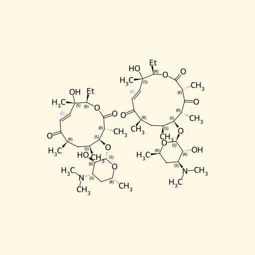 CC[C@H]1OC(=O)[C@H](C)C(=O)[C@H](C)[C@@H](O[C@@H]2O[C@H](C)C[C@H](N(C)C)[C@H]2O)[C@@H](C)C[C@@H](C)C(=O)/C=C/[C@]1(C)O.CC[C@H]1OC(=O)[C@H](C)[C@@H](O[C@@H]2O[C@H](C)C[C@H](N(C)C)[C@H]2O)[C@@H](C)C[C@@H](C)C(=O)/C=C/[C@]1(C)O